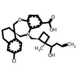 C=CCC(O)[C@]1(C)CC[C@@H]1CN1C[C@@]2(CCCc3cc(Cl)ccc32)COc2ccc(C(=O)O)cc21